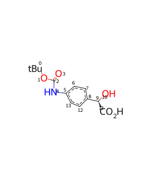 CC(C)(C)OC(=O)Nc1ccc([C@@H](O)C(=O)O)cc1